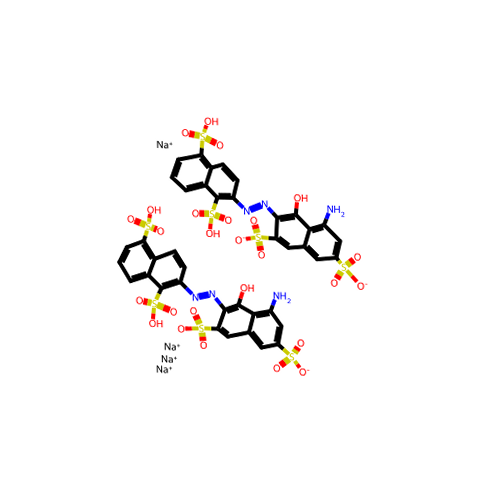 Nc1cc(S(=O)(=O)[O-])cc2cc(S(=O)(=O)[O-])c(/N=N/c3ccc4c(S(=O)(=O)O)cccc4c3S(=O)(=O)O)c(O)c12.Nc1cc(S(=O)(=O)[O-])cc2cc(S(=O)(=O)[O-])c(/N=N/c3ccc4c(S(=O)(=O)O)cccc4c3S(=O)(=O)O)c(O)c12.[Na+].[Na+].[Na+].[Na+]